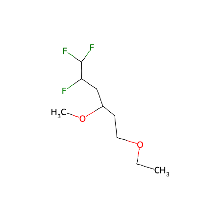 CCOCCC(CC(F)C(F)F)OC